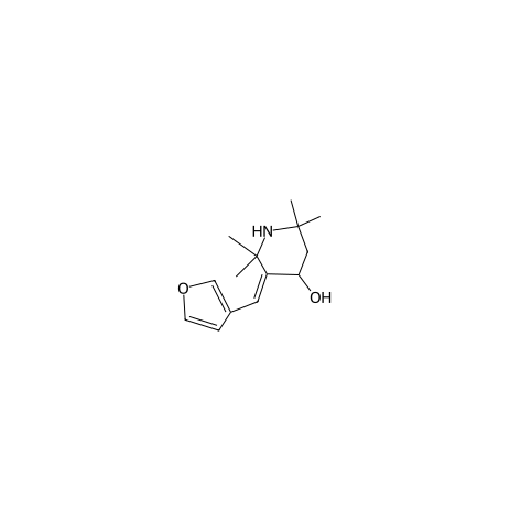 CC1(C)CC(O)C(=Cc2ccoc2)C(C)(C)N1